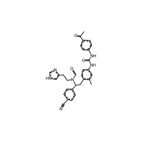 CC(=O)c1ccc(NC(=O)Nc2ccc(CC(c3ccc(C#N)cc3)N(C=O)CCc3c[nH]cn3)c(C)c2)cc1